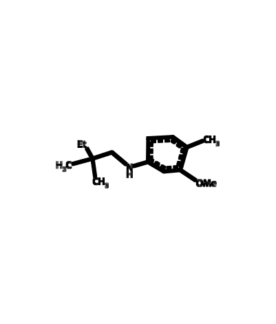 CCC(C)(C)CNc1ccc(C)c(OC)c1